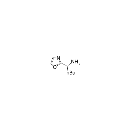 CCCCC(N)c1ncco1